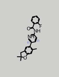 C=C(/C=C\C(=C/N)c1cc2c(cc1C)OC(C)(C)C2)NC(=O)c1ccccc1F